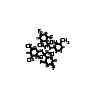 Cc1cccc(CC(O)(CCl)c2ccc(F)cc2F)c1.OC(CCl)(Cc1cc(Cl)cc(Cl)c1)c1ccc(F)cc1F